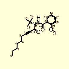 CCCCCCC#CC(=O)N(NC(=O)c1ccccc1OC)C(C)(C)C